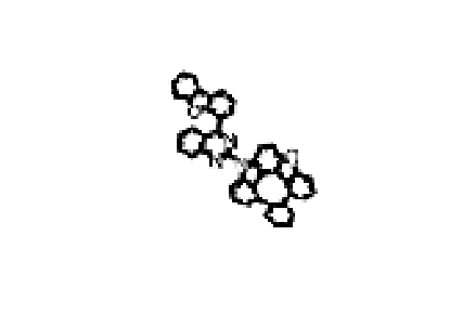 c1ccc2c(-c3cccc4c3oc3ccccc34)nc(-n3c4cccc5c6ccccc6c6cccc7oc8ccc3c(c8c76)c54)nc2c1